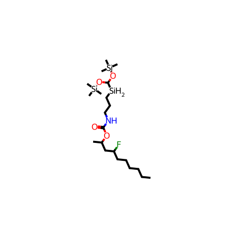 CCCCCCC(F)CC(C)OC(=O)NCCC[SiH2]C(O[Si](C)(C)C)O[Si](C)(C)C